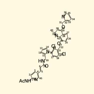 CC(=O)Nc1ccc(/C=C/C(=O)NCc2cccn2-c2ccc(Cl)c(COc3cccc4c(OCc5ccccn5)cc(C)nc34)c2Cl)cn1